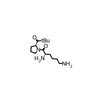 CC(C)(C)C(=O)[C@@H]1CCCN1C(=O)[C@@H](N)CCCCN